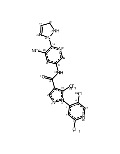 Cc1cc(-n2ncc(C(=O)Nc3cnc(N4N=CCN4)c(C#N)c3)c2C(F)(F)F)c(Cl)cn1